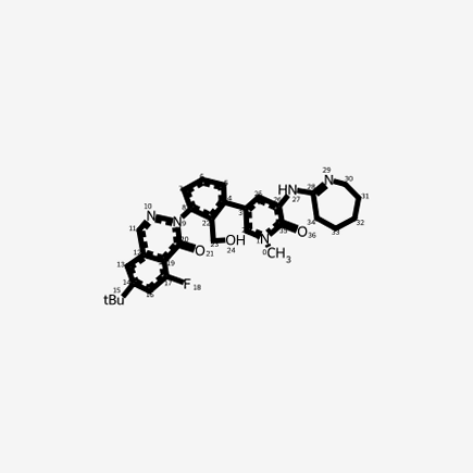 Cn1cc(-c2cccc(-n3ncc4cc(C(C)(C)C)cc(F)c4c3=O)c2CO)cc(NC2=NCCCCC2)c1=O